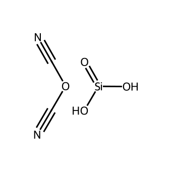 N#COC#N.O=[Si](O)O